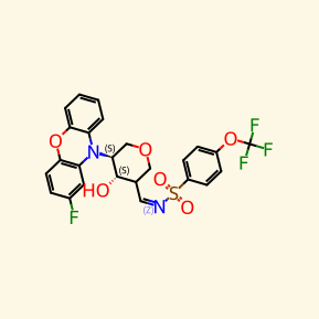 O=S(=O)(/N=C\C1COC[C@H](N2c3ccccc3Oc3ccc(F)cc32)[C@H]1O)c1ccc(OC(F)(F)F)cc1